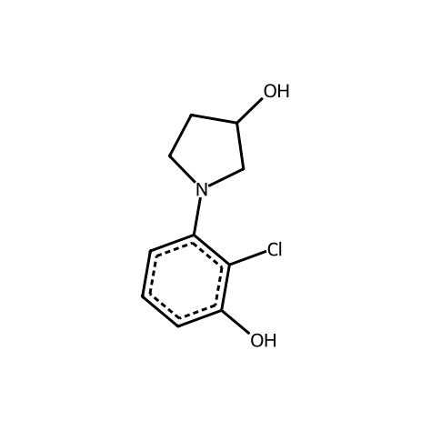 Oc1cccc(N2CCC(O)C2)c1Cl